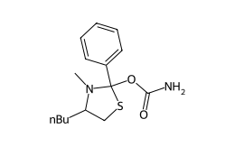 CCCCC1CSC(OC(N)=O)(c2ccccc2)N1C